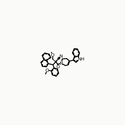 COC[C@@](C#N)(C(=O)N1CC=C(c2c[nH]c3ccccc23)CC1)C(c1ccccc1OC)c1cccc2ccccc12